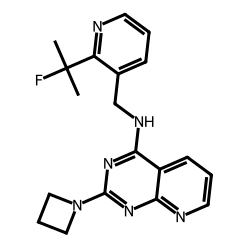 CC(C)(F)c1ncccc1CNc1nc(N2CCC2)nc2ncccc12